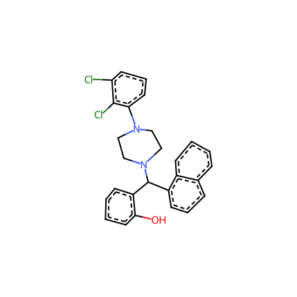 Oc1ccccc1C(c1cccc2ccccc12)N1CCN(c2cccc(Cl)c2Cl)CC1